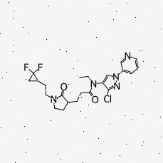 CCN(C(=O)CCC1CCN(CCC2CC2(F)F)C1=O)c1cn(-c2cccnc2)nc1Cl